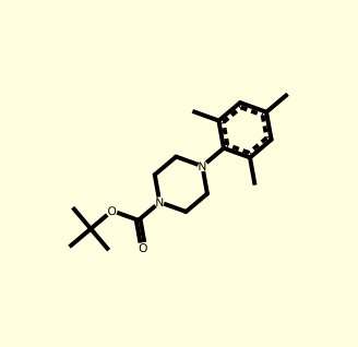 Cc1cc(C)c(N2CCN(C(=O)OC(C)(C)C)CC2)c(C)c1